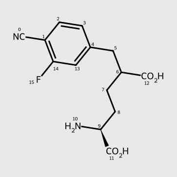 N#Cc1ccc(CC(CC[C@H](N)C(=O)O)C(=O)O)cc1F